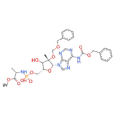 CC(C)OC(=O)C(C)NP(=O)(O)OC[C@H]1O[C@@H](n2cnc3c(NC(=O)OCc4ccccc4)ncnc32)[C@@](C)(OCOCc2ccccc2)C1O